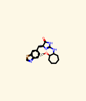 COC1CCCCCC1NC1=N/C(=C\c2ccc3ncsc3c2)C(=O)N1